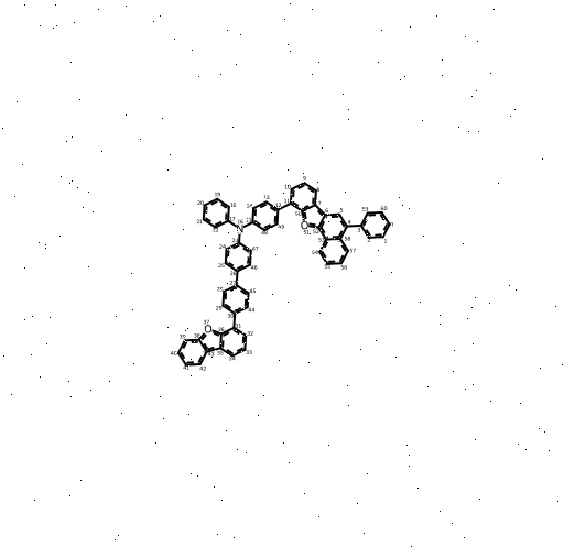 c1ccc(-c2cc3c4cccc(-c5ccc(N(c6ccccc6)c6ccc(-c7ccc(-c8cccc9c8oc8ccccc89)cc7)cc6)cc5)c4oc3c3ccccc23)cc1